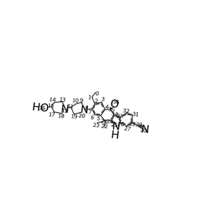 CCc1cc2c(cc1N1CCC(N3CCC(O)CC3)CC1)C(C)(C)c1[nH]c3cc(C#N)ccc3c1C2=O